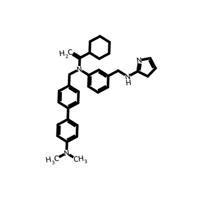 C=C(C1CCCCC1)N(Cc1ccc(-c2ccc(N(C)C)cc2)cc1)c1cccc(CNC2=NC=CC2)c1